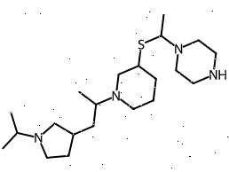 CC(C)N1CCC(CC(C)N2CCCC(SC(C)N3CCNCC3)C2)C1